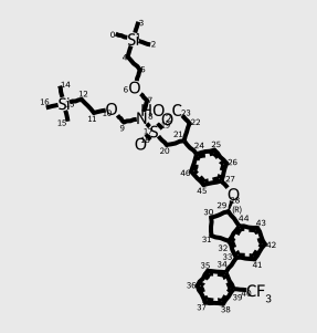 C[Si](C)(C)CCOCN(COCC[Si](C)(C)C)S(=O)(=O)CC(CC(=O)O)c1ccc(O[C@@H]2CCc3c(-c4ccccc4C(F)(F)F)cccc32)cc1